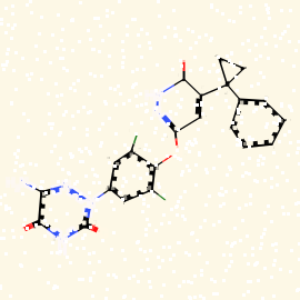 Nc1nn(-c2cc(Cl)c(OC3=NNC(O)C(C4(c5ccccc5)CC4)=C3)c(Cl)c2)c(=O)[nH]c1=O